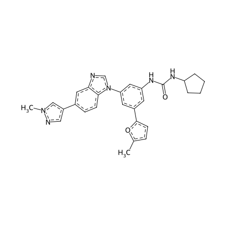 Cc1ccc(-c2cc(NC(=O)NC3CCCC3)cc(-n3cnc4cc(-c5cnn(C)c5)ccc43)c2)o1